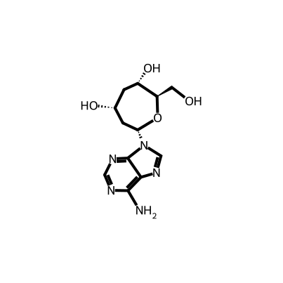 Nc1ncnc2c1ncn2[C@@H]1C[C@H](O)C[C@H](O)[C@@H](CO)O1